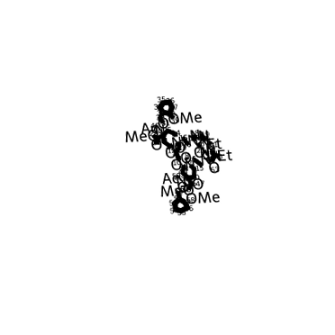 CCn1nnn(CC[N+]2(OC(=O)C(=O)O[N+]3(CCn4nnn(CC)c4=O)CCC(C(=O)OC)(N(OCc4ccccc4OC)C(C)=O)CC3)CCC(C(=O)OC)(N(OCc3ccccc3OC)C(C)=O)CC2)c1=O